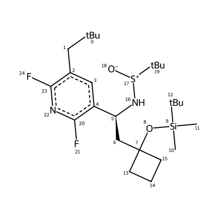 CC(C)(C)Cc1cc([C@H](CC2(O[Si](C)(C)C(C)(C)C)CCC2)N[S+]([O-])C(C)(C)C)c(F)nc1F